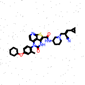 Cc1cc(OC2CCCCC2)ccc1N1C(=O)Nc2c(C(=O)N[C@@H]3CCCN(C/C(C#N)=C/C4CC4)C3)sc3nccc1c23